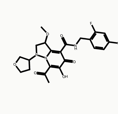 COC1CN(C2CCOC2)n2c(C(C)=O)c(O)c(=O)c(C(=O)NCc3ccc(F)cc3F)c21